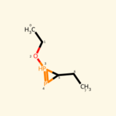 CCO[PH]1=PC1CC